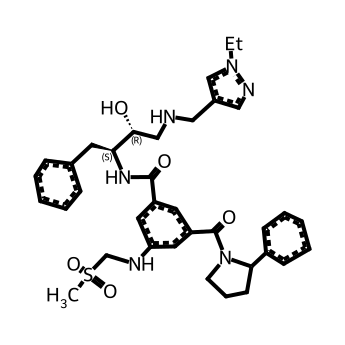 CCn1cc(CNC[C@@H](O)[C@H](Cc2ccccc2)NC(=O)c2cc(NCS(C)(=O)=O)cc(C(=O)N3CCCC3c3ccccc3)c2)cn1